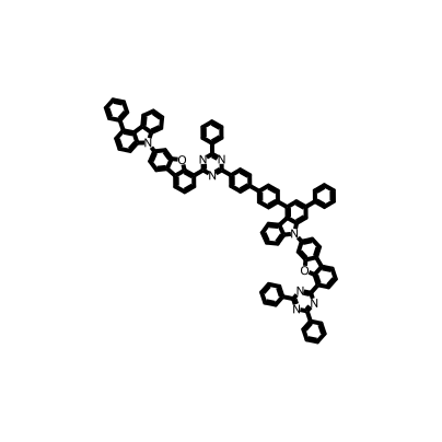 c1ccc(-c2cc(-c3ccc(-c4ccc(-c5nc(-c6ccccc6)nc(-c6cccc7c6oc6cc(-n8c9ccccc9c9c(-c%10ccccc%10)cccc98)ccc67)n5)cc4)cc3)c3c4ccccc4n(-c4ccc5c(c4)oc4c(-c6nc(-c7ccccc7)nc(-c7ccccc7)n6)cccc45)c3c2)cc1